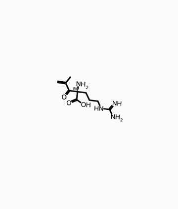 C=C(C)C(=O)[C@](N)(CCCNC(=N)N)C(=O)O